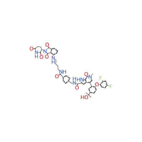 Cn1cc(-c2cc(C(C)(C)O)ccc2Oc2ccc(F)cc2F)c2cc(C(=O)NCc3ccc(C(=O)NCCCCNc4cccc5c4C(=O)N(C4CCC(=O)NC4=O)C5=O)cc3)[nH]c2c1=O